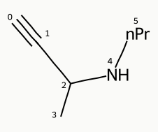 C#CC(C)NCC[CH2]